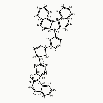 c1cc(-c2cccc(-n3c4ccc5ccccc5c4c4c5ccccc5ccc43)c2)cc(-c2cnc3c(n2)oc2ccc4ccccc4c23)c1